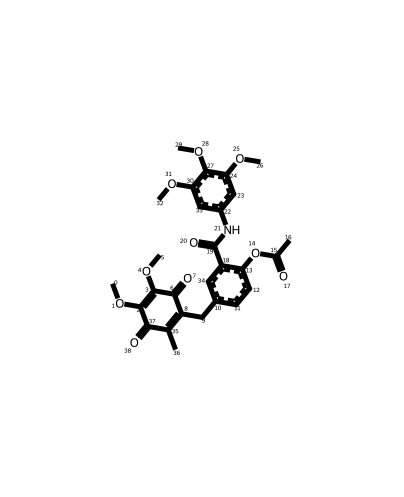 COC1=C(OC)C(=O)C(Cc2ccc(OC(C)=O)c(C(=O)Nc3cc(OC)c(OC)c(OC)c3)c2)=C(C)C1=O